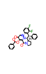 O=C(Oc1c2n(ncc1=O)[C@@H]([C@H](c1ccccc1)c1cccc(F)c1F)[C@H]1CCCN1C2=O)c1ccccc1